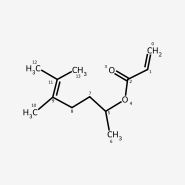 C=CC(=O)OC(C)CCC(C)=C(C)C